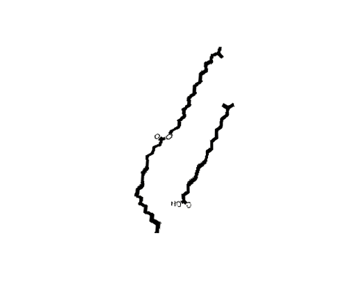 CC(C)CCCCCCCCCCCCCCC(=O)O.CCCCCCCC/C=C\CCCCCCCC(=O)OCCCCCCCCCCCCCCCC(C)C